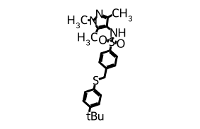 Cc1nn(C)c(C)c1NS(=O)(=O)c1ccc(CSc2ccc(C(C)(C)C)cc2)cc1